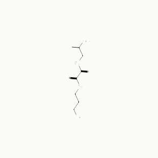 CCCCC(CC)CNC(=O)C(=O)NCCCO